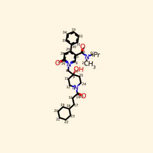 CC(C)N(C)C(=O)c1cn(CC2(O)CCN(C(=O)CCC3CCCCC3)CC2)c(=O)cc1-c1ccccc1